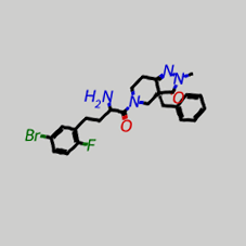 CN1N=C2CCN(C(=O)C(N)CCc3cc(Br)ccc3F)C[C@@]2(Cc2ccccc2)C1=O